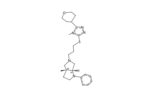 Cn1c(SCCCN2C[C@@H]3N(c4ccccc4)CC[C@]3(C)C2)nnc1C1CCOCC1